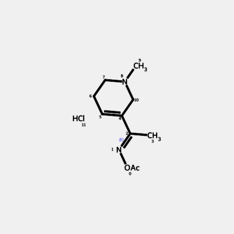 CC(=O)O/N=C(\C)C1=CCCN(C)C1.Cl